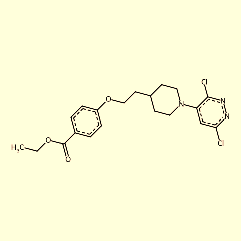 CCOC(=O)c1ccc(OCCC2CCN(c3cc(Cl)nnc3Cl)CC2)cc1